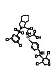 O=C(Nc1ccc(C[C@H](NC(=O)C2C3CCCCC3CN2S(=O)(=O)c2cc(Cl)cc(Cl)c2)C(=O)O)cc1)c1c(Cl)cncc1Cl